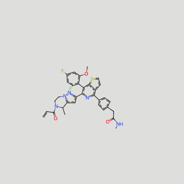 C=CC(=O)N1CCn2nc(-c3nc(-c4ccc(CC(=O)NC)cc4)c4ccsc4c3-c3c(F)cc(F)cc3OC)cc2C1C